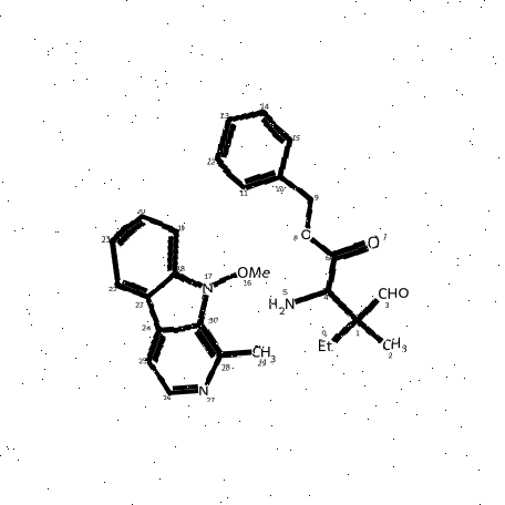 CCC(C)(C=O)C(N)C(=O)OCc1ccccc1.COn1c2ccccc2c2ccnc(C)c21